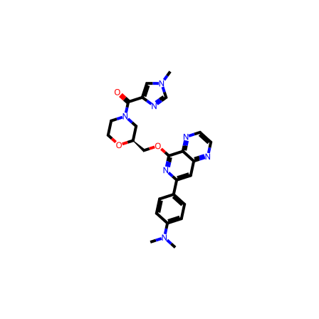 CN(C)c1ccc(-c2cc3nccnc3c(OC[C@@H]3CN(C(=O)c4cn(C)cn4)CCO3)n2)cc1